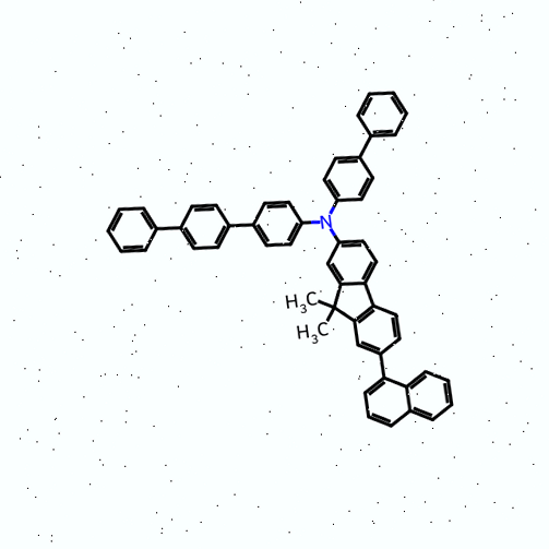 CC1(C)c2cc(-c3cccc4ccccc34)ccc2-c2ccc(N(c3ccc(-c4ccccc4)cc3)c3ccc(-c4ccc(-c5ccccc5)cc4)cc3)cc21